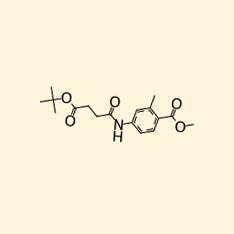 COC(=O)c1ccc(NC(=O)CCC(=O)OC(C)(C)C)cc1C